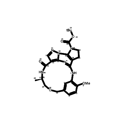 COc1ccc2cc1Nc1nc3c(cnn3c3c1CCN3C(=O)OC(C)(C)C)C(=O)N[C@H](C)COC2